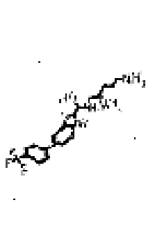 NCCC[C@H](N)CNC(O)c1nc2cc(-c3ccc(C(F)(F)F)cc3)ccc2[nH]1